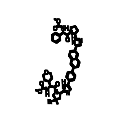 COC(=O)NC(C(=O)N1CCCC1c1ncc(-c2ccc3cc(-c4ccc(-c5cnc(C6CC(C)(Br)CN6C(=O)C(NC(=O)OC)C6CCOCC6)[nH]5)cc4)ccc3c2)[nH]1)c1ccccc1